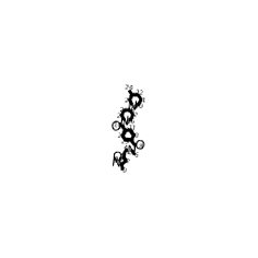 Cc1cc(CN(C)C(=O)c2ccc(C(=O)N3CCC(N4CCCC(C)C4)CC3)cc2)on1